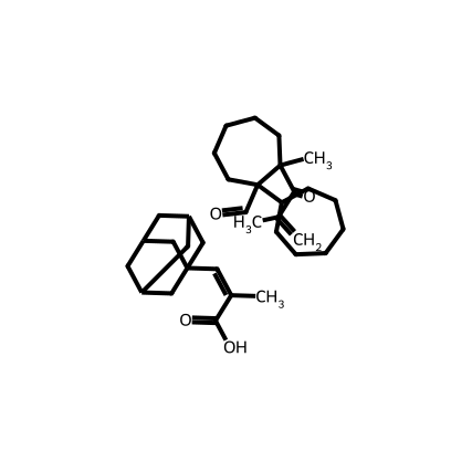 C=C(C)C(=O)C1(C)CCCCCC1(C=O)C1CCCCCC1.CC(=CC12CC3CC(CC(C3)C1)C2)C(=O)O